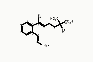 CCCCCCC=Cc1ccccc1C(=CCCC(CC)(C(=O)O)C(=O)O)CC